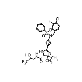 CC1(C)N=C(C23CC(N(Cc4ccc(Cl)c(F)c4)S(=O)(=O)c4ccccc4)(C2)C3)N[C@H]1C(=O)NCC(O)C(F)(F)F